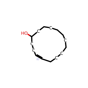 OC1CC/C=C\CCCCCCCCCC1